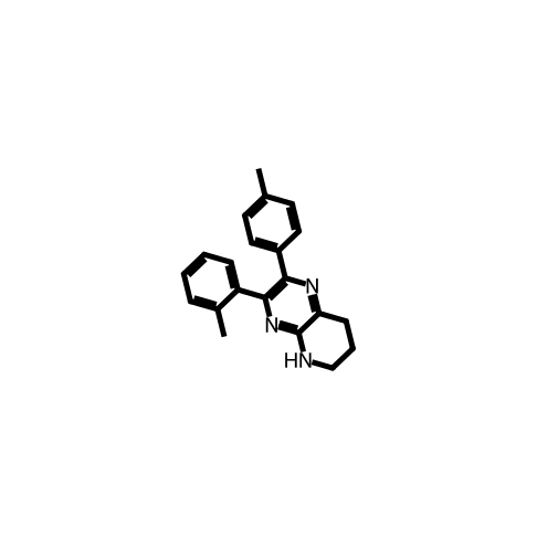 Cc1ccc(-c2nc3c(nc2-c2ccccc2C)NCCC3)cc1